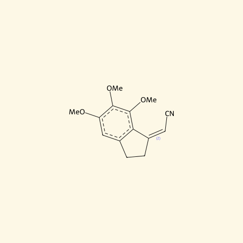 COc1cc2c(c(OC)c1OC)/C(=C\C#N)CC2